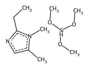 CCc1ncc(C)n1C.CO[SiH](OC)OC